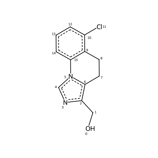 OCc1ncn2c1CCc1c(Cl)cccc1-2